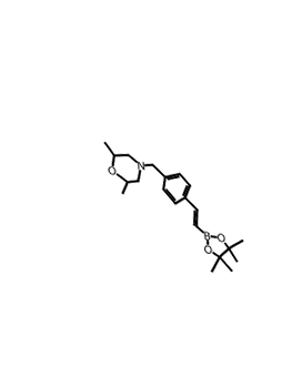 CC1CN(Cc2ccc(C=CB3OC(C)(C)C(C)(C)O3)cc2)CC(C)O1